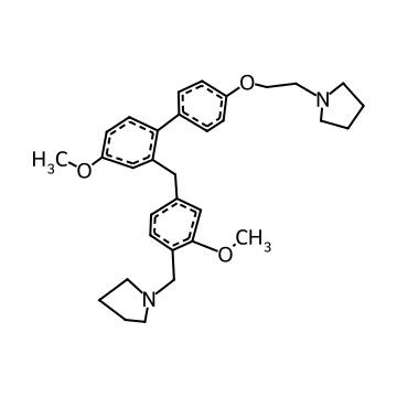 COc1ccc(-c2ccc(OCCN3CCCC3)cc2)c(Cc2ccc(CN3CCCC3)c(OC)c2)c1